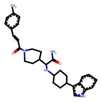 Cc1ccc(/C=C/C(=O)N2CCC(C(NC3CCC(c4c[nH]c5ccccc45)CC3)C(N)=O)CC2)cc1